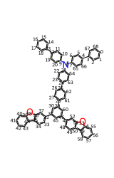 c1ccc(-c2ccc(N(c3ccc(-c4ccccc4)cc3)c3ccc(-c4ccc(-c5cc(-c6ccc7c(c6)oc6ccccc67)cc(-c6ccc7c(c6)oc6ccccc67)c5)cc4)cc3)cc2)cc1